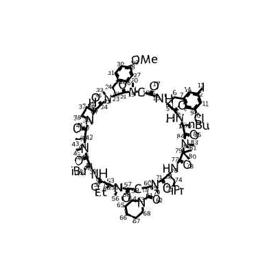 CCCC[C@@H]1NC(=O)[C@H](Cc2cc(Cl)cc(I)c2)NC(=O)CN(C)C(=O)[C@H](Cc2ccc(OC)cc2)N(C)C(=O)[C@@H]2CCN2C(=O)[C@H](C)N(C)C(=O)[C@H]([C@@H](C)CC)NC(=O)[C@H](CC)N(C)C(=O)C[C@@H](C(=O)N2CCCCC2)N(C)C(=O)[C@H](CC(C)C)NC(=O)C(C)(C)N(C)C1=O